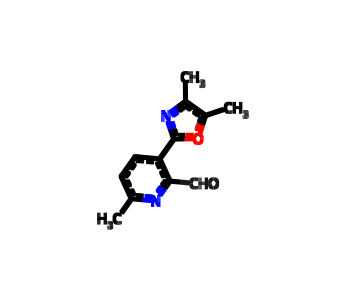 Cc1ccc(-c2nc(C)c(C)o2)c(C=O)n1